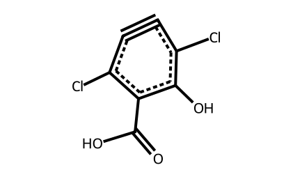 O=C(O)c1c(Cl)c#cc(Cl)c1O